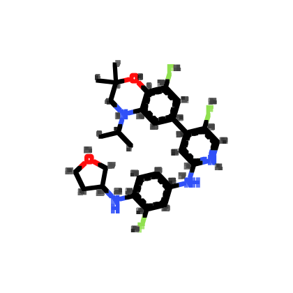 CC(C)N1CC(C)(C)Oc2c(F)cc(-c3cc(Nc4ccc(NC5CCOC5)c(F)c4)ncc3F)cc21